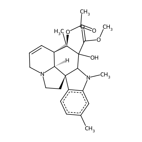 CC[C@]12C=CCN3CC[C@@]4(c5ccc(C)cc5N(C)C4C(O)(C(=O)OC)[C@@H]1OC(C)=O)[C@@H]32